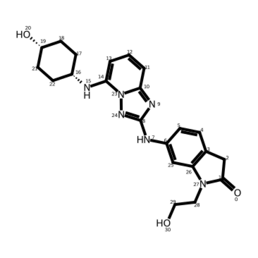 O=C1Cc2ccc(Nc3nc4cccc(N[C@H]5CC[C@@H](O)CC5)n4n3)cc2N1CCO